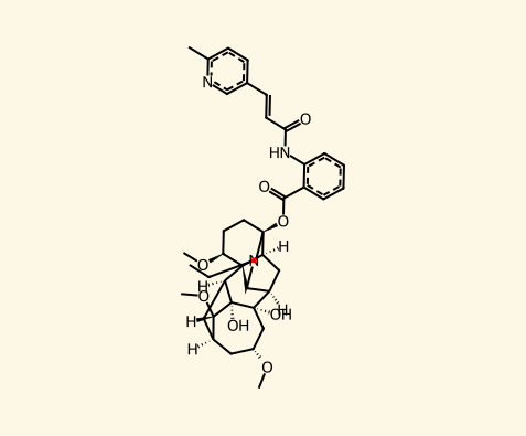 CCN1C[C@]2(OC(=O)c3ccccc3NC(=O)/C=C/c3ccc(C)nc3)CC[C@H](OC)[C@]34C1[C@@H](C[C@H]23)[C@@]1(O)C[C@H](OC)C[C@H]2C[C@@H]4[C@]1(O)[C@H]2OC